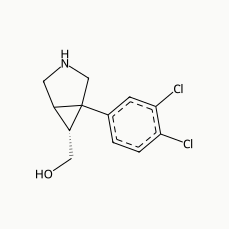 OC[C@@H]1C2CNCC21c1ccc(Cl)c(Cl)c1